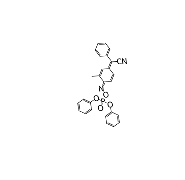 CC1=CC(=C(C#N)c2ccccc2)C=CC1=NOP(=O)(Oc1ccccc1)Oc1ccccc1